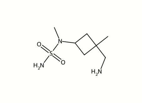 CN(C1CC(C)(CN)C1)S(N)(=O)=O